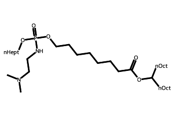 CCCCCCCCC(CCCCCCCC)OC(=O)CCCCCCCOP(=O)(NCCN(C)C)OCCCCCCC